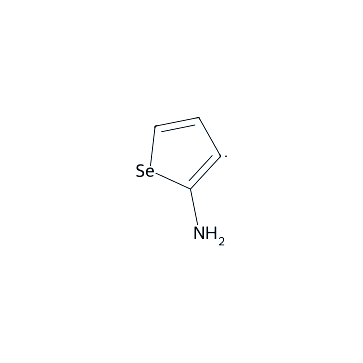 Nc1[c]cc[se]1